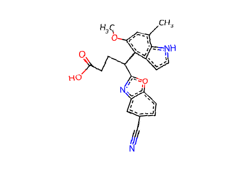 COc1cc(C)c2[nH]ccc2c1C(CCC(=O)O)c1nc2cc(C#N)ccc2o1